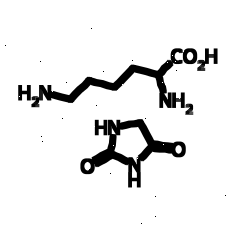 NCCCCC(N)C(=O)O.O=C1CNC(=O)N1